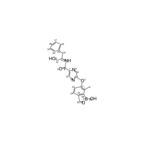 Cc1c(Oc2cnc(C(=O)NC(CO)Cc3ccccc3)cn2)ccc2c1B(O)OC2